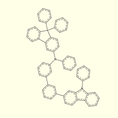 c1ccc(N(c2cccc(-c3cccc(-c4ccc5c6ccccc6n(-c6ccccc6)c5c4)c3)c2)c2ccc3c(c2)-c2ccccc2C3(c2ccccc2)c2ccccc2)cc1